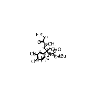 CN(C[C@](CC=O)(c1ccc(Cl)c(Cl)c1)N(C)C(=O)OC(C)(C)C)C(=O)CC(F)(F)F